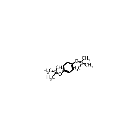 C[Si](C)(C)OC1=CC=C(O[Si](C)(C)C)CC1